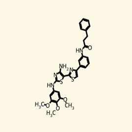 COc1cc(Nc2nc(N)c(-c3nc(-c4cccc(NC(=O)CCc5ccccc5)c4)cs3)s2)cc(OC)c1OC